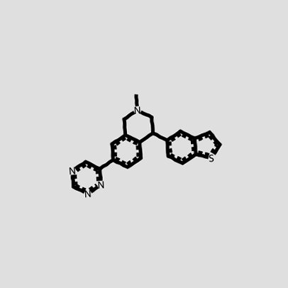 CN1Cc2cc(-c3cncnn3)ccc2C(c2ccc3sccc3c2)C1